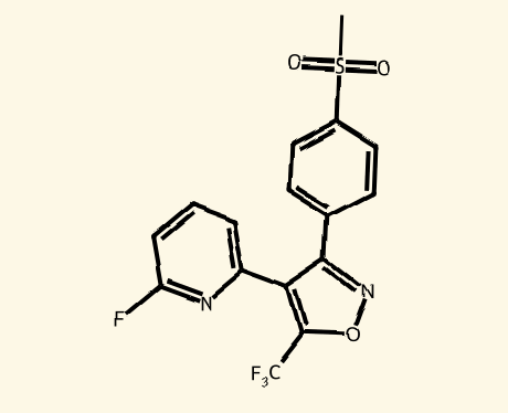 CS(=O)(=O)c1ccc(-c2noc(C(F)(F)F)c2-c2cccc(F)n2)cc1